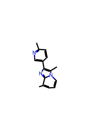 Cc1ccc(-c2nc3c(C)cccn3c2C)cn1